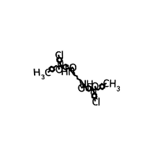 Cc1ccc(CC(=O)N(c2ccc(Cl)cc2)C2CCN(C(=O)NCCCCCCNC(=O)N3CCC(N(C(=O)Cc4ccc(C)cc4)c4ccc(Cl)cc4)CC3)CC2)cc1